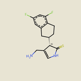 NCC1=CNC(=S)[C@H]1C1CCc2c(F)cc(F)cc2C1